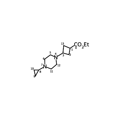 CCOC(=O)C1CC(N2CCN(C3CC3)CC2)C1